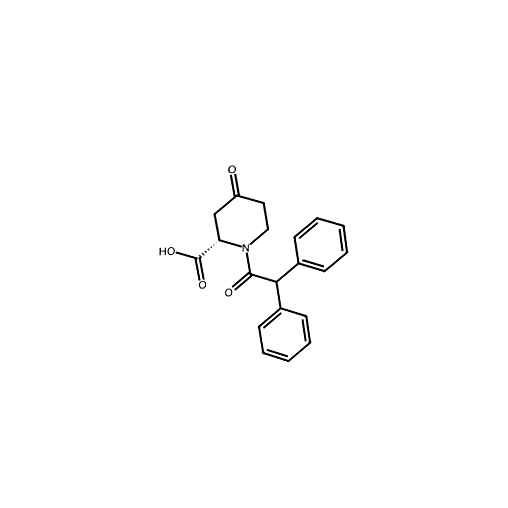 O=C1CCN(C(=O)C(c2ccccc2)c2ccccc2)[C@H](C(=O)O)C1